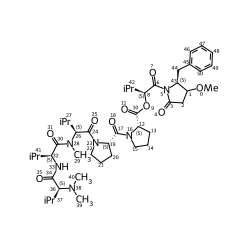 COC1CC(=O)N(C(=O)[C@@H](OC(=O)[C@@H]2CCCN2C(=O)[C@@H]2CCCN2C(=O)[C@H](C(C)C)N(C)C(=O)[C@@H](NC(=O)[C@H](C(C)C)N(C)C)C(C)C)C(C)C)[C@H]1Cc1ccccc1